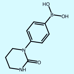 O=C1NCCCN1c1ccc(B(O)O)cc1